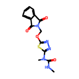 CNC(=O)N(C)c1nnc(OCN2C(=O)c3ccccc3C2=O)s1